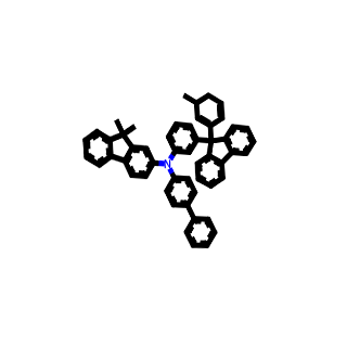 CC1C=C(C2(c3cccc(N(c4ccc(-c5ccccc5)cc4)c4ccc5c(c4)C(C)(C)c4ccccc4-5)c3)c3ccccc3-c3ccccc32)C=CC1